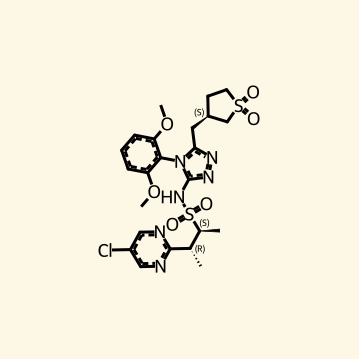 COc1cccc(OC)c1-n1c(C[C@H]2CCS(=O)(=O)C2)nnc1NS(=O)(=O)[C@@H](C)[C@H](C)c1ncc(Cl)cn1